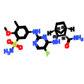 COc1c(C)cc(Nc2ncc(F)c(N[C@H]3[C@@H](C(N)=O)[C@@H]4C=C[C@H]3C4)n2)cc1S(N)(=O)=O